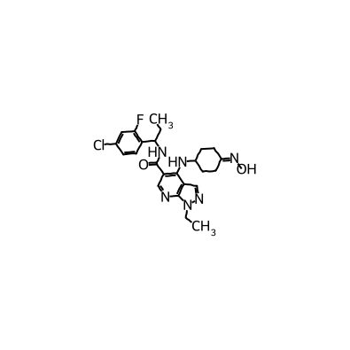 CCC(NC(=O)c1cnc2c(cnn2CC)c1NC1CCC(=NO)CC1)c1ccc(Cl)cc1F